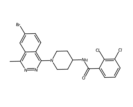 Cc1nnc(N2CCC(NC(=O)c3cccc(Cl)c3Cl)CC2)c2ccc(Br)cc12